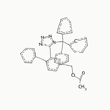 CC(=O)OCc1ccc(-c2ccccc2)c(-c2nnnn2C(c2ccccc2)(c2ccccc2)c2ccccc2)c1